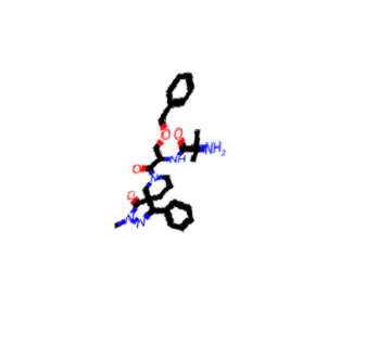 CN1N=C(c2ccccc2)C2(CCCN(C(=O)C(COCc3ccccc3)NC(=O)C(C)(C)N)C2)C1=O